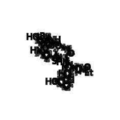 CCC(=O)N1CCN(C2=NC(NCCC(=O)N(C)CCOCC(=O)NC(C(=O)N3C[C@H](O)C[C@H]3C(=O)N[C@@H](C)c3ccc(-c4scnc4C)cc3)C(C)(C)C)=NC3C(F)=C(c4cc(O)cc5ccccc45)C(Cl)=CC23)CC1